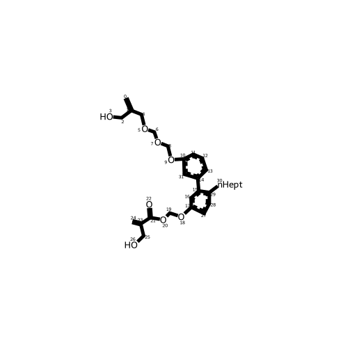 C=C(CO)COCOCOc1cccc(-c2cc(OCOC(=O)C(=C)CO)ccc2CCCCCCC)c1